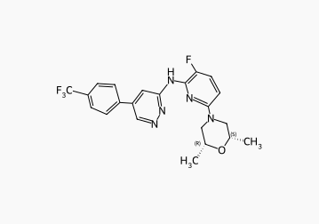 C[C@@H]1CN(c2ccc(F)c(Nc3cc(-c4ccc(C(F)(F)F)cc4)cnn3)n2)C[C@H](C)O1